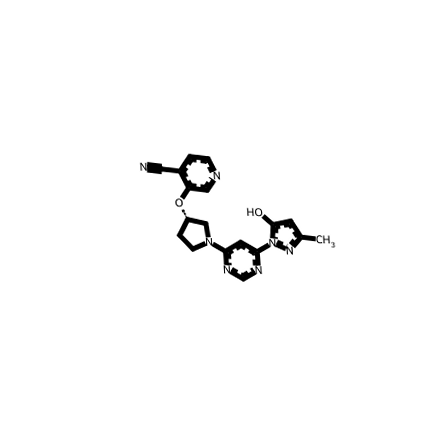 Cc1cc(O)n(-c2cc(N3CC[C@H](Oc4cnccc4C#N)C3)ncn2)n1